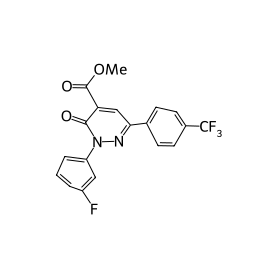 COC(=O)c1cc(-c2ccc(C(F)(F)F)cc2)nn(-c2cccc(F)c2)c1=O